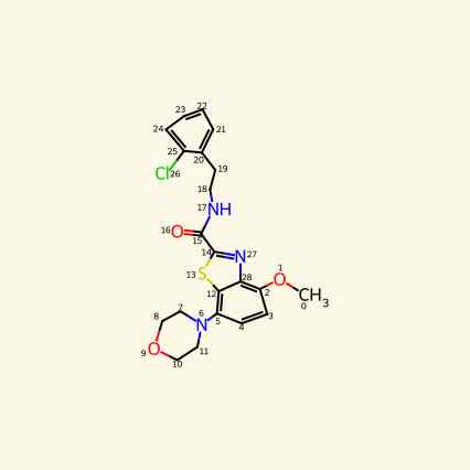 COc1ccc(N2CCOCC2)c2sc(C(=O)NCCc3ccccc3Cl)nc12